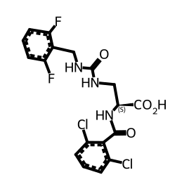 O=C(NCc1c(F)cccc1F)NC[C@H](NC(=O)c1c(Cl)cccc1Cl)C(=O)O